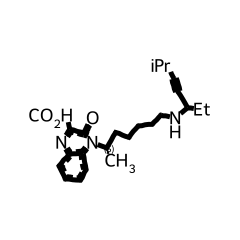 CCC(C#CC(C)C)NCCCCC[C@H](C)n1c(=O)c(C(=O)O)nc2ccccc21